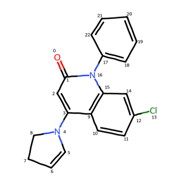 O=c1cc(N2C=CCC2)c2ccc(Cl)cc2n1-c1ccccc1